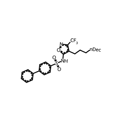 CCCCCCCCCCCCCc1c(C(F)(F)F)noc1NS(=O)(=O)c1ccc(-c2ccccc2)cc1